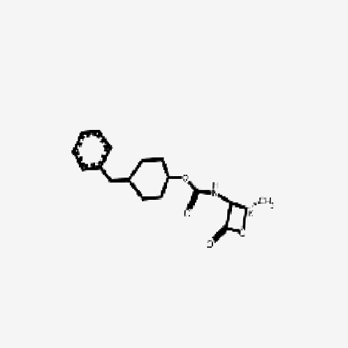 C[C@@H]1OC(=O)C1NC(=O)OC1CCC(Cc2ccccc2)CC1